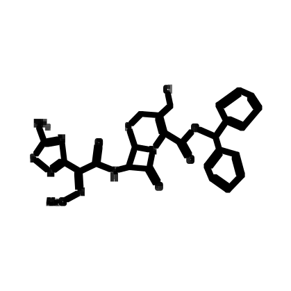 CON=C(C(=O)NC1C(=O)N2C(C(=O)OC(c3ccccc3)c3ccccc3)=C(CCl)CSC12)c1nsc(N)n1